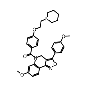 COc1ccc(-c2onc3c2CN(C(=O)c2ccc(OCCN4CCCCC4)cc2)c2cc(OC)ccc2-3)cc1